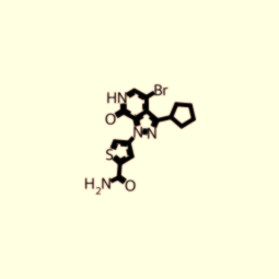 NC(=O)c1cc(-n2nc(C3CCCC3)c3c(Br)c[nH]c(=O)c32)cs1